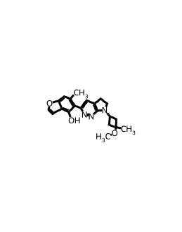 COC1(C)CC(N2CCc3cc(-c4c(C)cc5occc5c4O)nnc32)C1